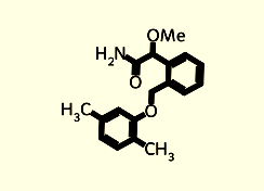 COC(C(N)=O)c1ccccc1COc1cc(C)ccc1C